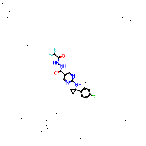 O=C(NNC(=O)C(F)F)c1cnc(NC2(c3ccc(Cl)cc3)CC2)nc1